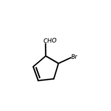 O=CC1C=CCC1Br